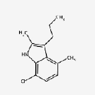 CCCc1c(C)[nH]c2c(Cl)ccc(C)c12